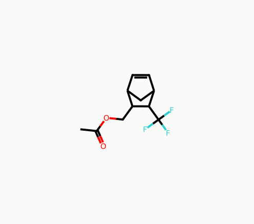 CC(=O)OCC1C2C=CC(C2)C1C(F)(F)F